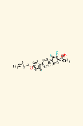 C=CCCOc1ccc(C2CCC(c3ccc(C(C)O)c(F)c3F)CC2)c(F)c1